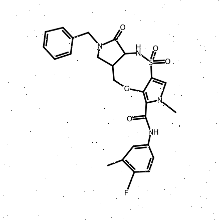 Cc1cc(NC(=O)c2c3c(cn2C)S(=O)(=O)NC2C(=O)N(Cc4ccccc4)CC2CO3)ccc1F